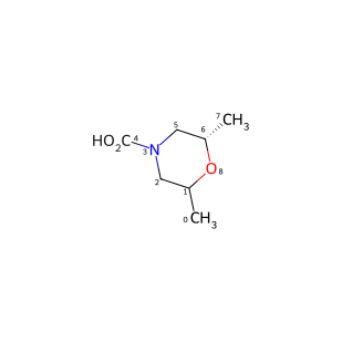 CC1CN(C(=O)O)C[C@H](C)O1